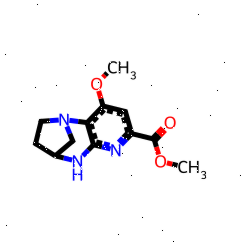 COC(=O)c1cc(OC)c2c(n1)NC1CCN2C1